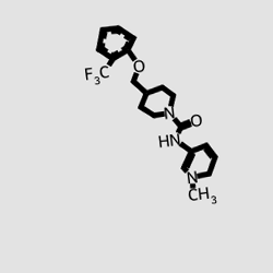 CN1C=C(NC(=O)N2CCC(COc3ccccc3C(F)(F)F)CC2)C=CC1